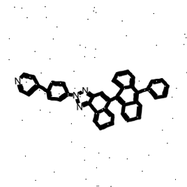 c1ccc(-c2c3ccccc3c(-c3cc4nn(-c5ccc(-c6ccncc6)cc5)nc4c4ccccc34)c3ccccc23)cc1